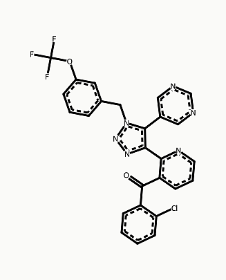 O=C(c1ccccc1Cl)c1cccnc1-c1nnn(Cc2cccc(OC(F)(F)F)c2)c1-c1cncnc1